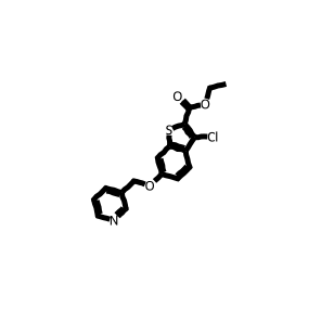 CCOC(=O)c1sc2cc(OCc3cccnc3)ccc2c1Cl